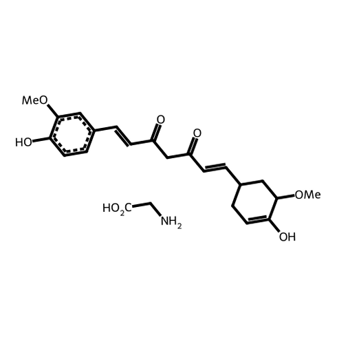 COc1cc(/C=C/C(=O)CC(=O)/C=C/C2CC=C(O)C(OC)C2)ccc1O.NCC(=O)O